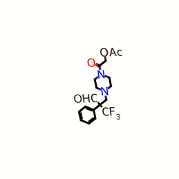 CC(=O)OCC(=O)N1CCN(CC(C=O)(c2ccccc2)C(F)(F)F)CC1